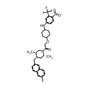 C[C@@H]1CN(Cc2ccc3cc(F)ccc3c2)[C@@H](C)CN1C(=O)COC1CCC(Nc2ccc([N+](=O)[O-])c(C(F)(F)F)c2)CC1